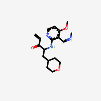 C=CC(=O)C(CC1CCOCC1)Nc1nccc(OC)c1/C=N\C